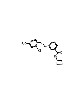 O=C(NC1CCC1)c1cccc(COc2ccc(C(F)(F)F)cc2Cl)c1